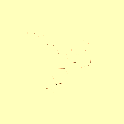 CC(=O)N1CCC(c2c3c(=O)[nH]cc(C(=O)O)c3nn2COCC[Si](C)(C)C)CC1